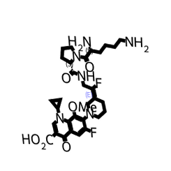 COc1c(N2CCC/C(=C(\F)CNC(=O)[C@@H]3CCCN3C(=O)[C@@H](N)CCCCN)C2)c(F)cc2c(=O)c(C(=O)O)cn(C3CC3)c12